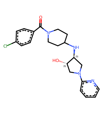 O=C(c1ccc(Cl)cc1)N1CCC(N[C@H]2CN(c3ccccn3)C[C@@H]2O)CC1